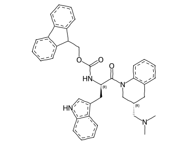 CN(C)C[C@H]1Cc2ccccc2N(C(=O)[C@@H](Cc2c[nH]c3ccccc23)NC(=O)OCC2c3ccccc3-c3ccccc32)C1